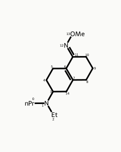 CCCN(CC)C1CCC2=C(CCCC2=NOC)C1